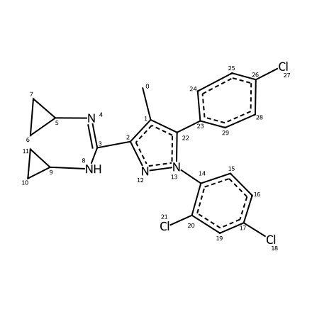 Cc1c(C(=NC2CC2)NC2CC2)nn(-c2ccc(Cl)cc2Cl)c1-c1ccc(Cl)cc1